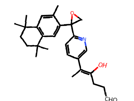 C/C(=C(/O)CCC=O)c1ccc(C2(c3cc4c(cc3C)C(C)(C)CCC4(C)C)CO2)nc1